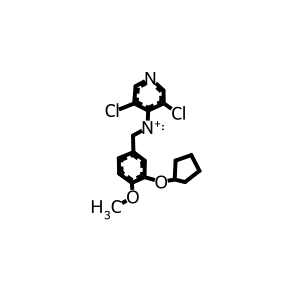 COc1ccc(C[N+]c2c(Cl)cncc2Cl)cc1OC1CCCC1